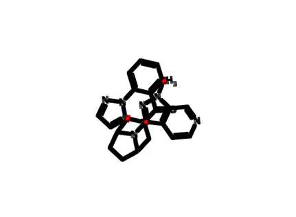 Cn1nc(N2C3CCC2CN(C(=O)c2ccccc2-n2nccn2)C3)c2ccncc21